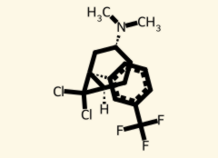 CN(C)[C@@H]1CC[C@H]2C(Cl)(Cl)[C@@]2(c2cccc(C(F)(F)F)c2)C1